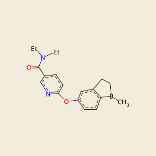 CCN(CC)C(=O)c1ccc(Oc2ccc3c(c2)CCB3C)nc1